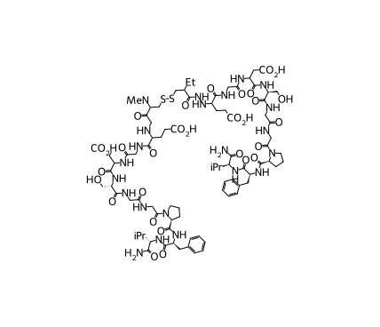 CCC(CSSCC(NC)C(=O)CNC(CCC(=O)O)C(=O)NCC(=O)NC(CC(=O)O)C(=O)N[C@@H](CO)C(=O)NCC(=O)NCC(=O)N1CCC[C@H]1C(=O)N[C@@H](Cc1ccccc1)C(=O)N[C@H](C(N)=O)C(C)C)C(=O)NNC(CCC(=O)O)C(=O)NCC(=O)NC(CC(=O)O)C(=O)N[C@@H](CO)C(=O)NCC(=O)NCC(=O)N1CCC[C@H]1C(=O)N[C@@H](Cc1ccccc1)C(=O)N[C@H](C(N)=O)C(C)C